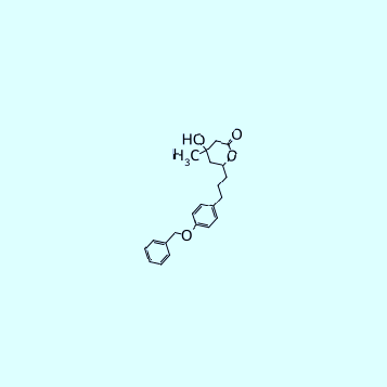 CC1(O)CC(=O)OC(CCCc2ccc(OCc3ccccc3)cc2)C1